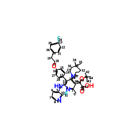 Cc1nc(Nc2cccnc2F)c(-c2ccc(OCCc3ccc(F)cc3)cc2)c(N2CCC(C)(C)CC2)c1C(OC(C)(C)C)C(=O)O